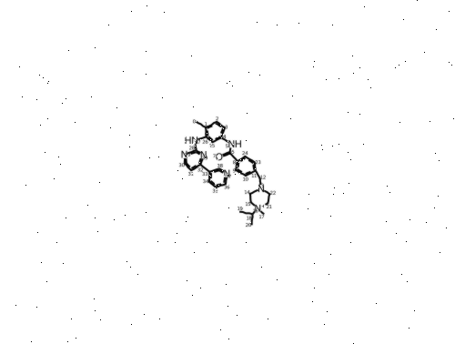 Cc1ccc(NC(=O)c2ccc(CN3CC[N+](C)(C(C)C)CC3)cc2)cc1Nc1nccc(-c2cccnc2)n1